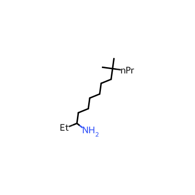 CCCC(C)(C)CCCCCCC(N)CC